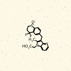 Cc1c(Cc2ccc3c(c2)C(F)(F)CC[S+]3[O-])c2ncccc2n1CC(=O)O